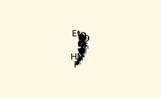 CC[C@H]1CN(c2ccc(-c3ccc(CNCCCF)cc3)c(F)c2)C(=O)O1